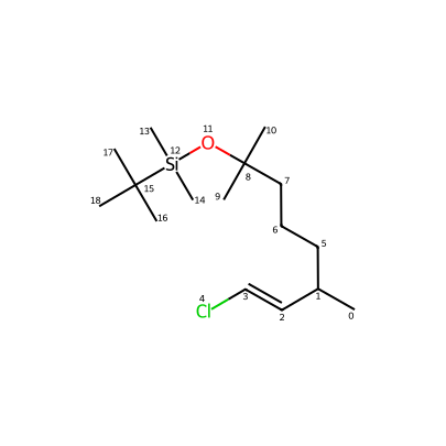 CC(C=CCl)CCCC(C)(C)O[Si](C)(C)C(C)(C)C